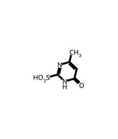 Cc1cc(=O)[nH]c(S(=O)(=O)O)n1